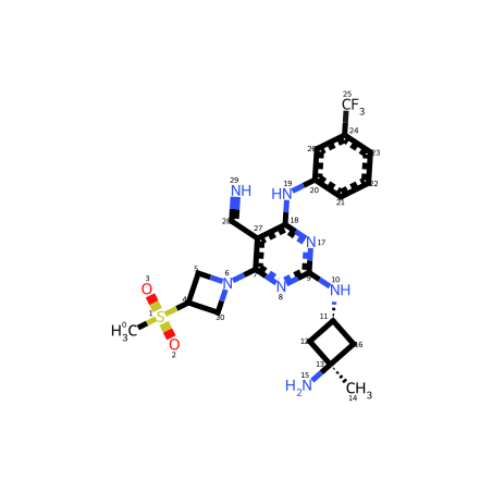 CS(=O)(=O)C1CN(c2nc(N[C@H]3C[C@](C)(N)C3)nc(Nc3cccc(C(F)(F)F)c3)c2C=N)C1